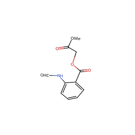 COC(=O)COC(=O)c1ccccc1NC=O